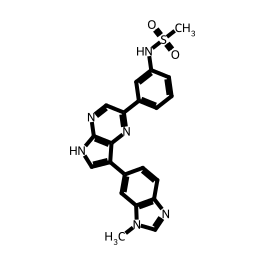 Cn1cnc2ccc(-c3c[nH]c4ncc(-c5cccc(NS(C)(=O)=O)c5)nc34)cc21